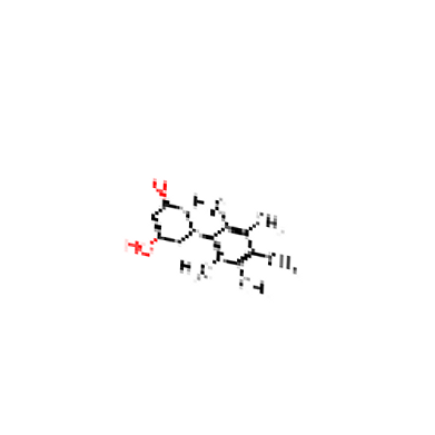 Cc1c(C)c(C)c(C2CC(=O)C=C(O)C2)c(C)c1C